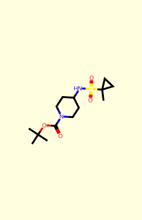 CC(C)(C)OC(=O)N1CCC(NS(=O)(=O)C2(C)CC2)CC1